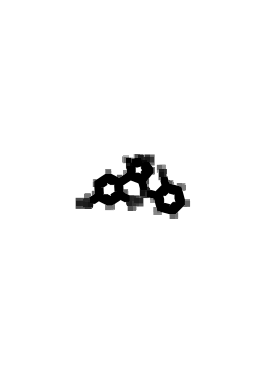 Oc1ccc(-c2n[nH]cc2Oc2ccccc2F)c(O)c1